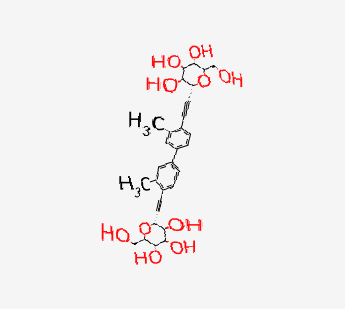 Cc1cc(-c2ccc(C#C[C@H]3O[C@H](CO)[C@@H](O)[C@H](O)[C@@H]3O)c(C)c2)ccc1C#C[C@H]1O[C@H](CO)[C@@H](O)[C@H](O)[C@@H]1O